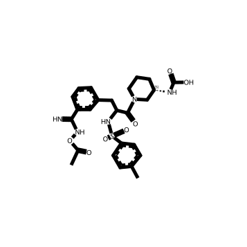 CC(=O)ONC(=N)c1cccc(CC(NS(=O)(=O)c2ccc(C)cc2)C(=O)N2CCC[C@H](NC(=O)O)C2)c1